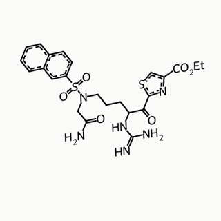 CCOC(=O)c1csc(C(=O)C(CCCN(CC(N)=O)S(=O)(=O)c2ccc3ccccc3c2)NC(=N)N)n1